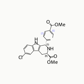 C=C(/C=C\C(=C/C)C(=O)OC)[C@@H]1N[C@@H](C(=O)OC)Cc2c1[nH]c1ccc(Cl)cc21